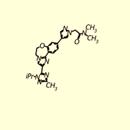 Cc1nc(-c2cn3c(n2)-c2ccc(-c4cnn(CC(=O)N(C)C)c4)cc2OCC3)n(C(C)C)n1